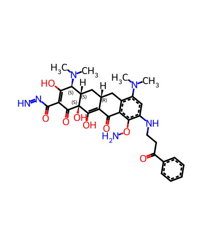 CN(C)c1cc(NCCC(=O)c2ccccc2)c(ON)c2c1C[C@H]1C[C@H]3[C@H](N(C)C)C(O)=C(C(=O)N=N)C(=O)[C@@]3(O)C(O)=C1C2=O